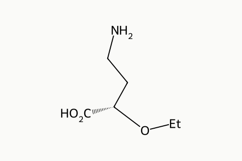 CCO[C@@H](CCN)C(=O)O